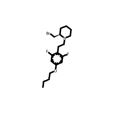 CCCCOc1cc(F)c(CCN2CCCC[C@@H]2CBr)c(F)c1